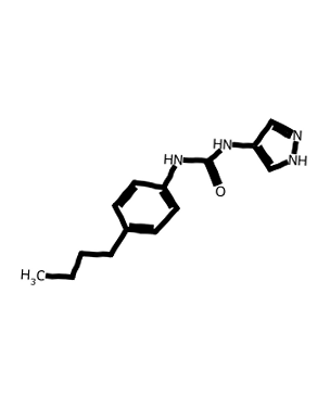 CCCCc1ccc(NC(=O)Nc2cn[nH]c2)cc1